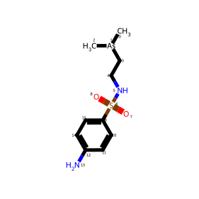 C[As](C)CCNS(=O)(=O)c1ccc(N)cc1